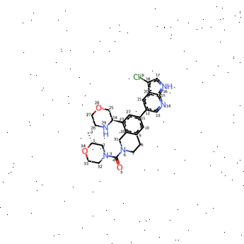 C[C@@H]1CN(C(=O)N2CCc3cc(-c4cnc5[nH]cc(Cl)c5c4)cc([C@@H]4COCCN4)c3C2)CCO1